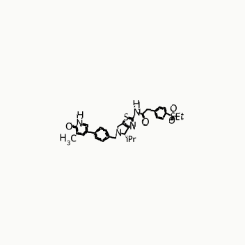 CCS(=O)(=O)c1ccc(CC(=O)Nc2nc3c(s2)CN(Cc2ccc(-c4c[nH]c(=O)c(C)c4)cc2)[C@H]3C(C)C)cc1